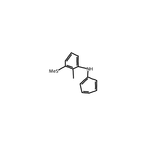 CSc1cccc(Nc2ccccc2)c1C